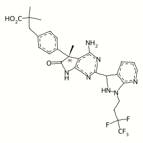 CC(C)(Cc1ccc([C@@]2(C)C(=O)Nc3nc(C4NN(CCC(F)(F)C(F)(F)F)c5ncccc54)nc(N)c32)cc1)C(=O)O